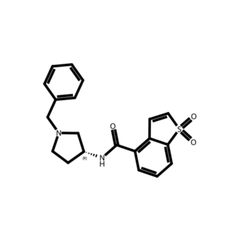 O=C(N[C@@H]1CCN(Cc2ccccc2)C1)c1cccc2c1C=CS2(=O)=O